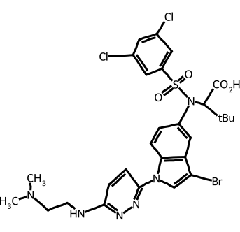 CN(C)CCNc1ccc(-n2cc(Br)c3cc(N(C(C(=O)O)C(C)(C)C)S(=O)(=O)c4cc(Cl)cc(Cl)c4)ccc32)nn1